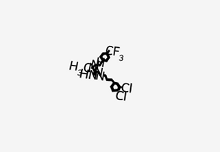 CN(N=Cc1ccc(C(F)(F)F)cc1)C(=N)NN=CC=Cc1ccc(Cl)c(Cl)c1